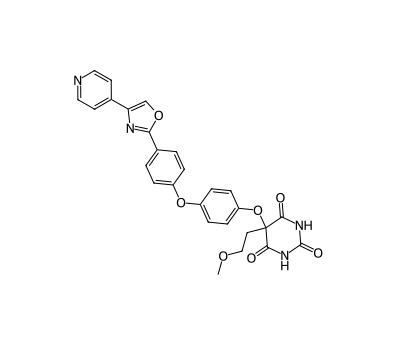 COCCC1(Oc2ccc(Oc3ccc(-c4nc(-c5ccncc5)co4)cc3)cc2)C(=O)NC(=O)NC1=O